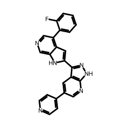 Fc1ccccc1-c1cncc2[nH]c(-c3n[nH]c4ncc(-c5ccncc5)cc34)cc12